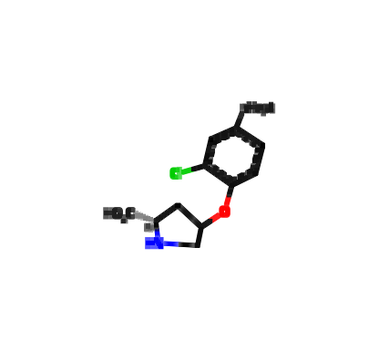 CCCCCCCc1ccc(OC2CN[C@H](C(=O)O)C2)c(Cl)c1